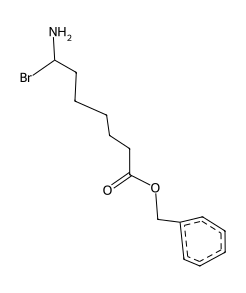 NC(Br)CCCCCC(=O)OCc1ccccc1